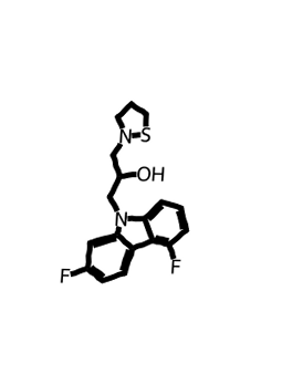 OC(CN1CCCS1)Cn1c2cc(F)ccc2c2c(F)cccc21